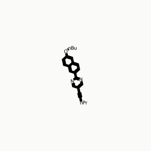 CCCC#Cc1cnc(-c2ccc3cc(OCCCC)ccc3c2)nc1